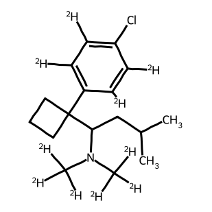 [2H]c1c([2H])c(C2(C(CC(C)C)N(C([2H])([2H])[2H])C([2H])([2H])[2H])CCC2)c([2H])c([2H])c1Cl